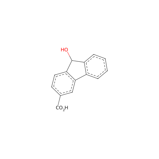 O=C(O)c1ccc2c(c1)-c1ccccc1C2O